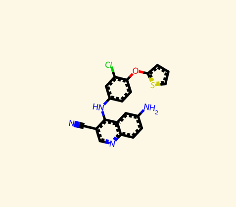 N#Cc1cnc2ccc(N)cc2c1Nc1ccc(Oc2cccs2)c(Cl)c1